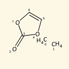 C.C.O=c1occo1